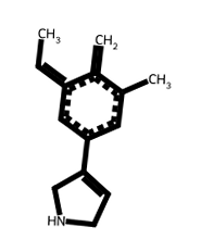 C=c1c(C)cc(C2=CCNC2)c/c1=C/C